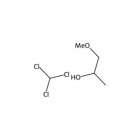 COCC(C)O.ClC(Cl)Cl